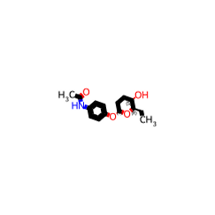 CC[C@H]1O[C@H](Oc2ccc(NC(C)=O)cc2)CC[C@@H]1O